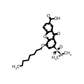 CCCCCCCCOc1cc(S(=O)(=O)N(C)C)cc2c(=O)c3cc(C(=O)O)ccc3oc12